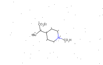 CCOC(=O)C(C1CCN(C(=O)O)CC1)C(C)(C)C